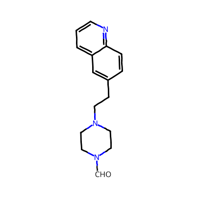 O=CN1CCN(CCc2ccc3ncccc3c2)CC1